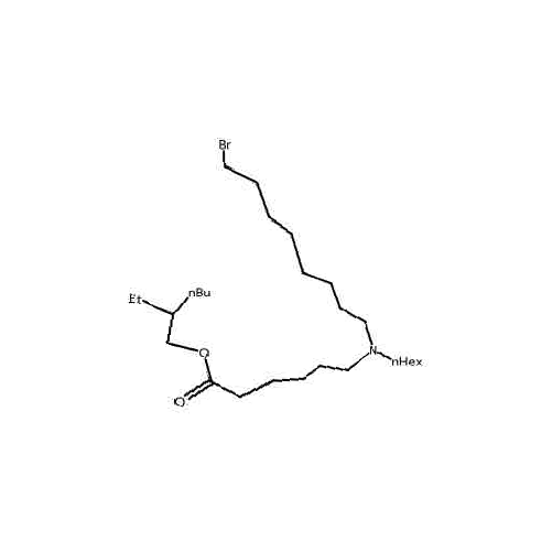 CCCCCCN(CCCCCCCCBr)CCCCCC(=O)OCC(CC)CCCC